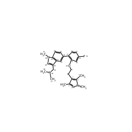 Cc1nn(C)c(C)c1CCOc1cc(F)ccc1-c1ccc2c(c1)c(CN(C)C)nn2C